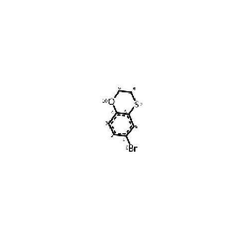 Brc1ccc2c(c1)SCCO2